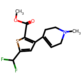 COC(=O)c1sc(C(F)F)cc1C1=CCN(C)CC1